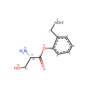 CCCCCCCCCc1ccccc1OC(=O)[C@@H](N)CO